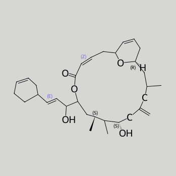 C=C1CC(C)C[C@@H]2CC=CC(C/C=C\C(=O)OC(C(O)/C=C/C3CC=CCC3)C[C@H](C)C(C)[C@@H](O)C1)O2